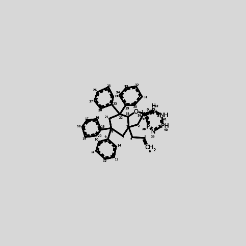 C=CCC1(CC=C)CC(c2ccccc2)(c2ccccc2)CC(c2ccccc2)(c2ccccc2)C1On1pn[pH][nH][pH]1